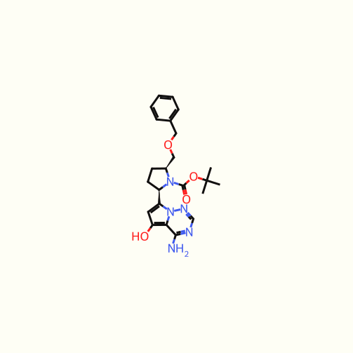 CC(C)(C)OC(=O)N1[C@H](COCc2ccccc2)CC[C@@H]1c1cc(O)c2c(N)ncnn12